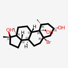 C[C@@H]1C[C@H](O)C[C@]2(Br)CC[C@@H]3[C@H](CC[C@@]4(C)[C@H]3CC[C@]4(C)O)[C@@]12CO